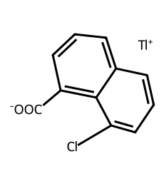 O=C([O-])c1cccc2cccc(Cl)c12.[Tl+]